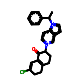 CC(c1ccccc1)n1ccc2c[n+](C3CCC4=C(C=C(Cl)CC4)C3=O)ccc21